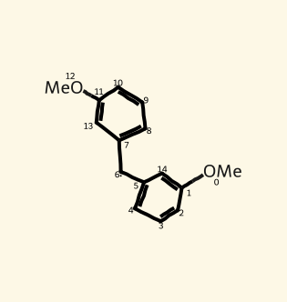 COc1cccc([CH]c2cccc(OC)c2)c1